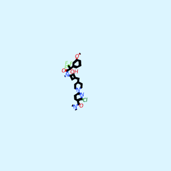 COc1cccc(C(O)(C(=O)N(C)C2CC(CC3CCN(c4ccc(C(=O)N(C)C)c(Cl)n4)CC3)C2)C(F)(F)F)c1